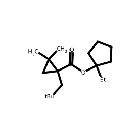 CCC1(OC(=O)C2(CC(C)(C)C)CC2(C)C)CCCC1